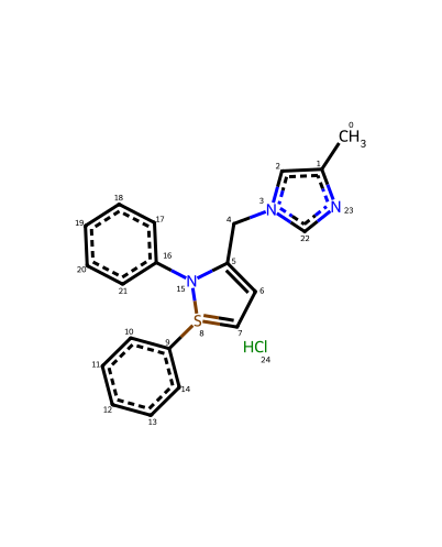 Cc1cn(CC2=CC=S(c3ccccc3)N2c2ccccc2)cn1.Cl